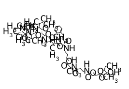 CCC(CO)OC(COC(=O)NCCC(=O)N[C@@H](C)C(=O)OCCCNCC(=O)[C@H](Cc1ccccc1)NC(=O)[C@H](C)[C@@H](OC)[C@@H]1CCCN1C(=O)C[C@@H](OC)[C@H]([C@@H](C)CC)N(C)C(=O)[C@@H](NC(=O)[C@H](C(C)C)N(C)C)C(C)C)OC